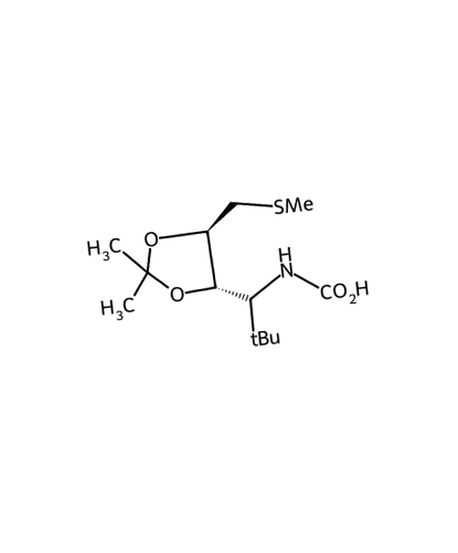 CSC[C@@H]1OC(C)(C)O[C@H]1C(NC(=O)O)C(C)(C)C